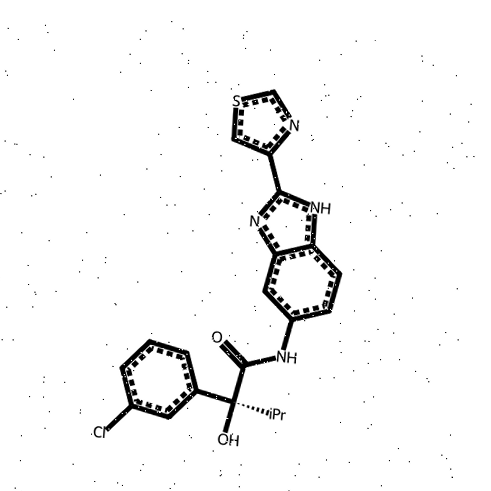 CC(C)[C@@](O)(C(=O)Nc1ccc2[nH]c(-c3cscn3)nc2c1)c1cccc(Cl)c1